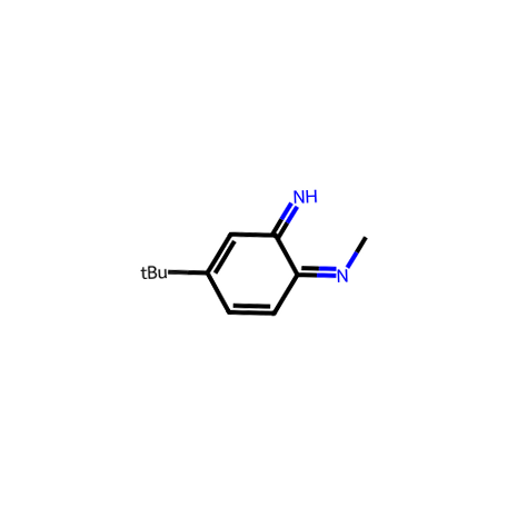 C/N=C1/C=CC(C(C)(C)C)=CC1=N